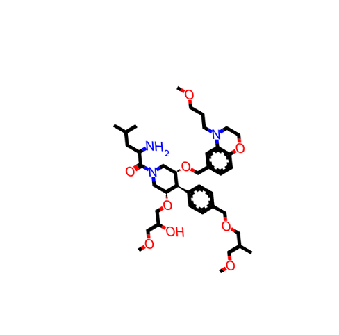 COCCCN1CCOc2ccc(CO[C@H]3CN(C(=O)C(N)CC(C)C)C[C@@H](OCC(O)COC)[C@@H]3c3ccc(COCC(C)COC)cc3)cc21